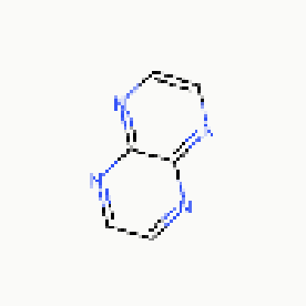 [c]1cnc2nccnc2n1